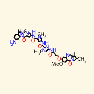 C=C1C[C@H]2C=Nc3cc(OCCCC(=O)Nc4cn(C)c(C(=O)Nc5cc(C(=O)Nc6cc(C(=O)n7ncc8ccc(N)cc87)n(C)c6)n(C)c5)n4)c(OC)cc3C(=O)N2C1